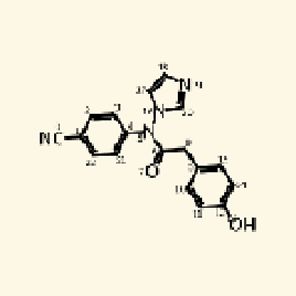 N#Cc1ccc(N(C(=O)Cc2ccc(O)cc2)n2ccnc2)cc1